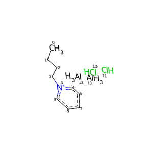 CCCC[n+]1ccccc1.Cl.Cl.[AlH3].[AlH3]